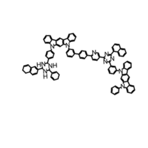 C1=CC(C2NC(c3ccc(-n4c5ccccc5c5cc6c7ccccc7n(-c7cccc(-c8ccc(-c9ccc(-c%10nc(-c%11cccc(-n%12c%13ccccc%13c%13cc%14c%15ccccc%15n(-c%15ccccc%15)c%14cc%13%12)c%11)nc(-c%11cccc%12ccccc%11%12)n%10)cn9)cc8)c7)c6cc54)cc3)NC(c3ccc4c(c3)C=CCC4)N2)=CCC1